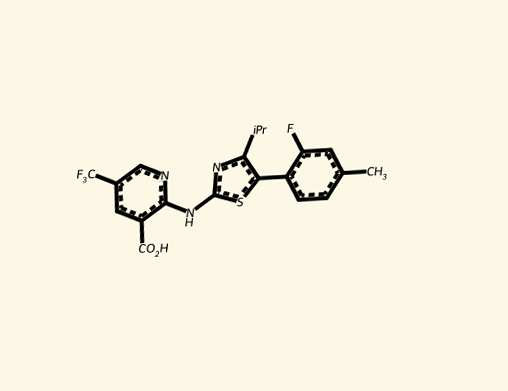 Cc1ccc(-c2sc(Nc3ncc(C(F)(F)F)cc3C(=O)O)nc2C(C)C)c(F)c1